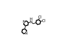 Clc1ccc(CNc2cncc(-c3cccnc3)c2)cc1Cl